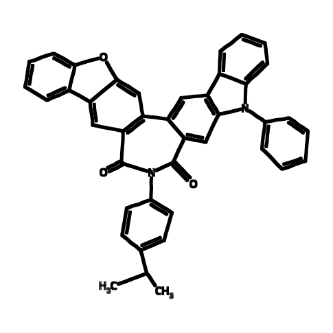 CC(C)c1ccc(-n2c(=O)c3cc4c(cc3c3cc5c6ccccc6n(-c6ccccc6)c5cc3c2=O)oc2ccccc24)cc1